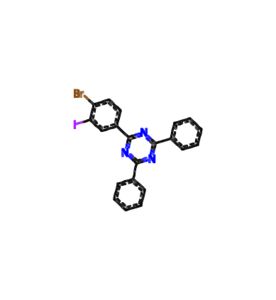 Brc1ccc(-c2nc(-c3ccccc3)nc(-c3ccccc3)n2)cc1I